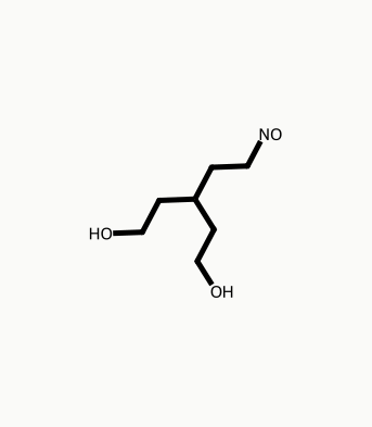 O=NCCC(CCO)CCO